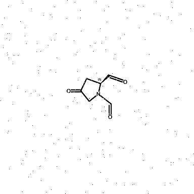 O=C[C@@H]1CC(=O)CN1C=O